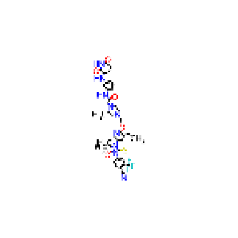 CCc1cc(N2C(=S)N(c3ccc(C#N)c(C(F)(F)F)c3)C(=O)C2(C)C)cnc1OCCN1CCN(CC(=O)Nc2cccc(NC3CCC(=O)NC3=O)c2)C(C)C1